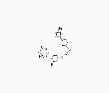 CC(C)c1noc(N2CCC([C@H]3C[C@H]3CCOc3ccc(CC(=O)NC4CC4C(F)(F)F)c(F)c3)CC2)n1